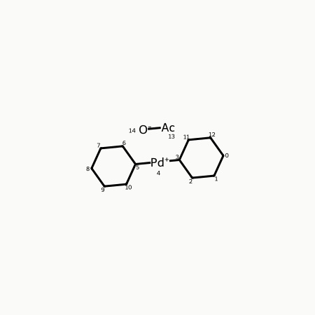 C1CC[CH]([Pd+][CH]2CCCCC2)CC1.CC(=O)[O-]